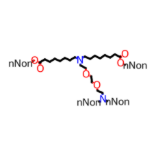 CCCCCCCCCOC(=O)CCCCCCCN(CCCCCCCC(=O)OCCCCCCCCC)CCOCCOCCN(CCCCCCCCC)CCCCCCCCC